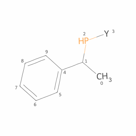 CC([PH][Y])c1ccccc1